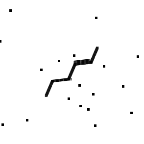 C/C=C/[CH]CC